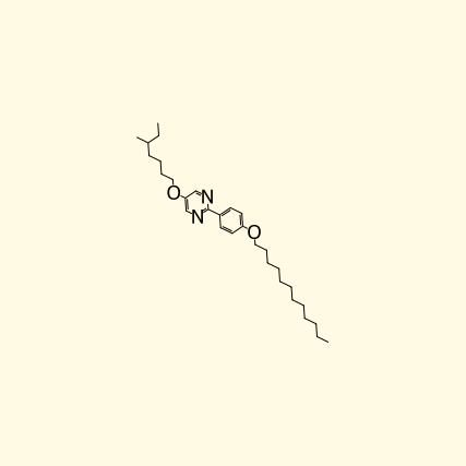 CCCCCCCCCCCCOc1ccc(-c2ncc(OCCCCC(C)CC)cn2)cc1